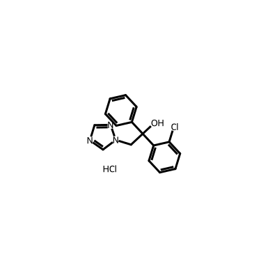 Cl.OC(Cn1cncn1)(c1ccccc1)c1ccccc1Cl